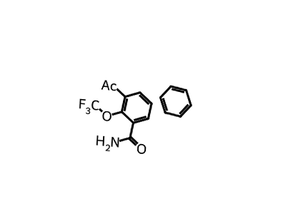 CC(=O)c1cccc(C(N)=O)c1OC(F)(F)F.c1ccccc1